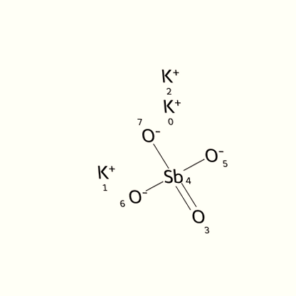 [K+].[K+].[K+].[O]=[Sb]([O-])([O-])[O-]